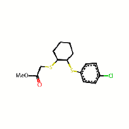 COC(=O)CSC1CCCCC1Sc1ccc(Cl)cc1